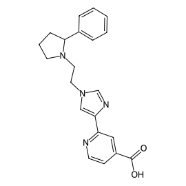 O=C(O)c1ccnc(-c2cn(CCN3CCCC3c3ccccc3)cn2)c1